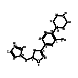 Fc1cc(C2=NOC(Cn3ccnn3)C2)ccc1N1CCSCC1